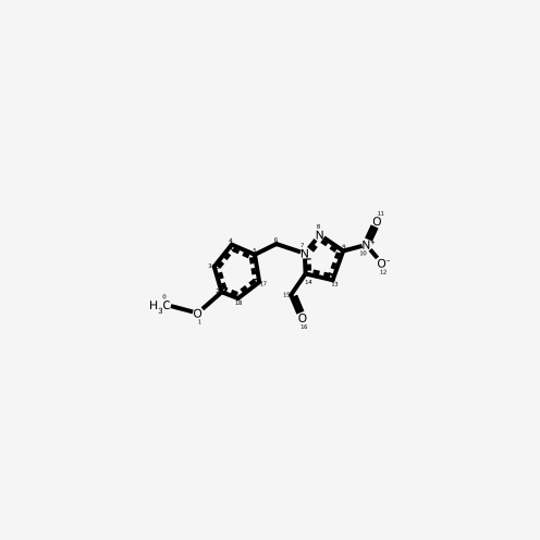 COc1ccc(Cn2nc([N+](=O)[O-])cc2C=O)cc1